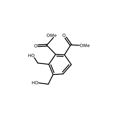 COC(=O)c1ccc(CO)c(CO)c1C(=O)OC